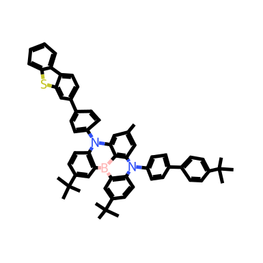 Cc1cc2c3c(c1)N(c1ccc(-c4ccc5c(c4)sc4ccccc45)cc1)c1ccc(C(C)(C)C)cc1B3c1cc(C(C)(C)C)ccc1N2c1ccc(-c2ccc(C(C)(C)C)cc2)cc1